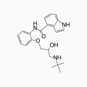 CC(C)(C)NCC(O)COc1ccccc1NC(=O)c1cccc2[nH]ccc12